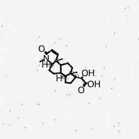 CN1C(=O)C=C[C@]2(C)C3CC[C@]4(C)[C@@H](C(O)C(=O)O)CC[C@H]4C3CC[C@@H]12